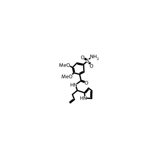 C=CCC(NC(=O)c1cc(S(N)(=O)=O)cc(OC)c1OC)c1ccc[nH]1